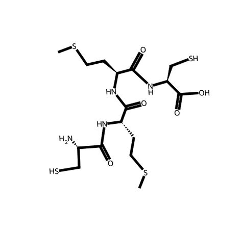 CSCC[C@H](NC(=O)[C@H](CCSC)NC(=O)[C@@H](N)CS)C(=O)N[C@@H](CS)C(=O)O